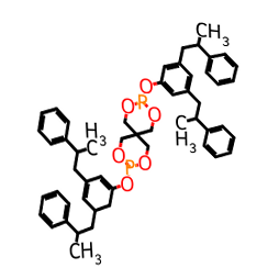 CC(CC1=CC(CC(C)c2ccccc2)CC(OP2OCC3(CO2)COP(Oc2cc(CC(C)c4ccccc4)cc(CC(C)c4ccccc4)c2)OC3)=C1)c1ccccc1